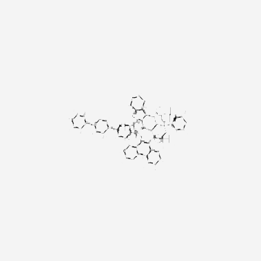 CC1C2=C3C(C)(C=CC2(C)c2ccccc2)c2c(c4ccccc4c4ccccc24)N(c2ccc(-c4ccc(-c5ccccc5)cc4)cc2)C3(C)c2sc3ccccc3c21